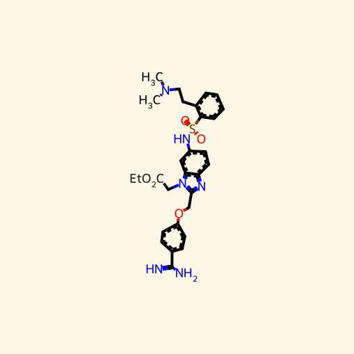 CCOC(=O)Cn1c(COc2ccc(C(=N)N)cc2)nc2ccc(NS(=O)(=O)c3ccccc3CCN(C)C)cc21